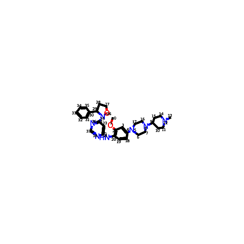 COc1cc(N2CCN(C3CCN(C)CC3)CC2)ccc1Nc1cc(N2OCCC2c2ccccc2)ncn1